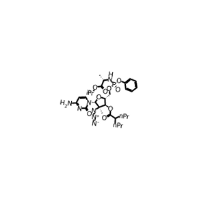 CCCC(CCC)C(=O)O[C@@H]1[C@@H](COP(=O)(N[C@@H](C)C(=O)OC(C)C)Oc2ccccc2)O[C@@H](n2ccc(N)nc2=O)[C@]1(C)N=[N+]=[N-]